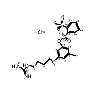 Cc1cc(OCCCONC(=N)N)cc(OS(=O)(=O)c2ccccc2S(C)(=O)=O)c1.Cl